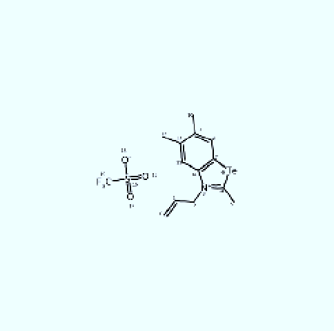 C=CC[n+]1c(C)[te]c2cc(C)c(C)cc21.O=S(=O)([O-])C(F)(F)F